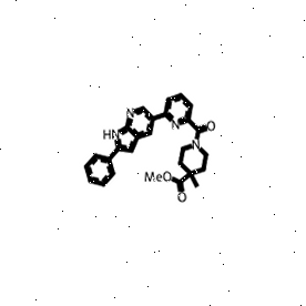 COC(=O)C1(C)CCN(C(=O)c2cccc(-c3cnc4[nH]c(-c5ccccc5)cc4c3)n2)CC1